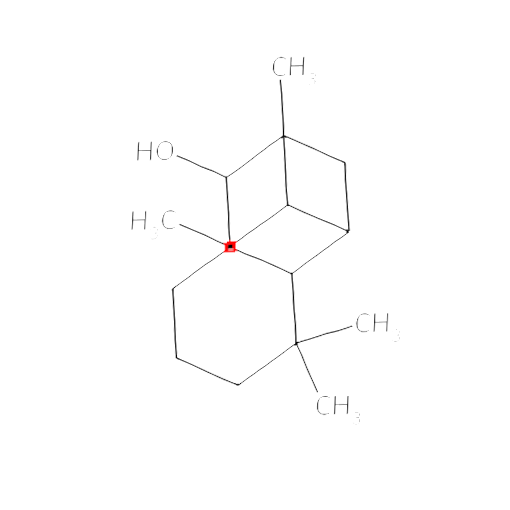 CCC1C2CC1(C)C(O)C1CCCC(C)(C)C12